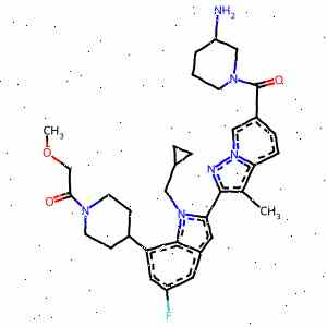 COCC(=O)N1CCC(c2cc(F)cc3cc(-c4nn5cc(C(=O)N6CCCC(N)C6)ccc5c4C)n(CC4CC4)c23)CC1